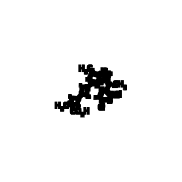 Cc1cc(N2CC(C3CC(C)(C(=O)O)C3)C2)cc2c1nnn2[C@H](C)c1ccc(Cl)cc1Cl